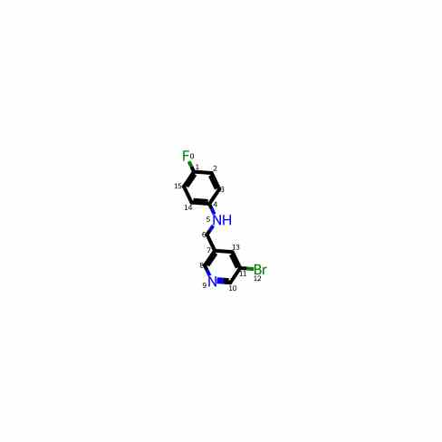 Fc1ccc(NCc2cncc(Br)c2)cc1